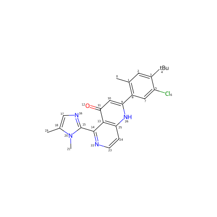 Cc1cc(C(C)(C)C)c(Cl)cc1-c1cc(=O)c2c(-c3ncc(C)n3C)nccc2[nH]1